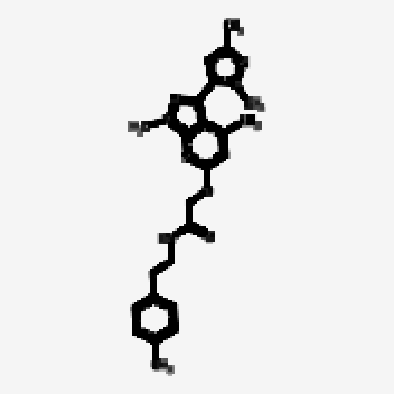 Cc1ccc(CCNC(=O)COc2cc(C)c3c(-c4cc(C)nn4C)nn(C)c3n2)cc1